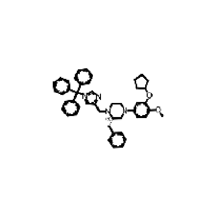 COc1ccc(N2CCN(Cc3cn(C(c4ccccc4)(c4ccccc4)c4ccccc4)cn3)[C@@H](Cc3ccccc3)C2)cc1OC1CCCC1